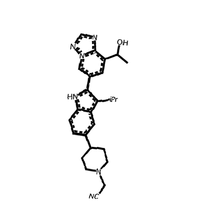 CC(C)c1c(-c2cc(C(C)O)c3ncnn3c2)[nH]c2ccc(C3CCN(CC#N)CC3)cc12